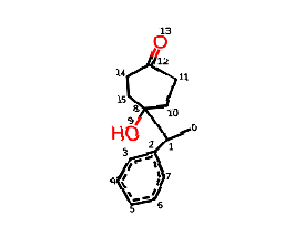 CC(c1ccccc1)C1(O)CCC(=O)CC1